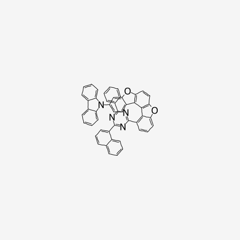 c1ccc(-c2nc(-c3cccc4ccccc34)nc(-c3cccc4oc5ccc6oc7cc(-n8c9ccccc9c9ccccc98)ccc7c6c5c34)n2)cc1